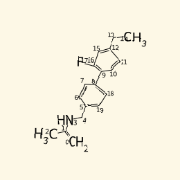 C=C(C)NCc1ccc(-c2ccc(CC)cc2F)cc1